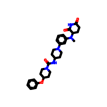 CN(c1cccc(N2CCC(NC(=O)N3CCC(Oc4ccccc4)CC3)CC2)c1)C1CCC(=O)NC1=O